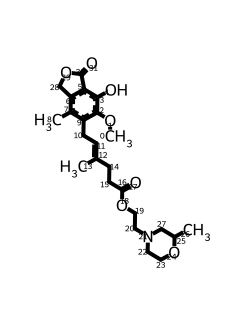 COc1c(O)c2c(c(C)c1C/C=C(\C)CCC(=O)OCCN1CCOC(C)C1)COC2=O